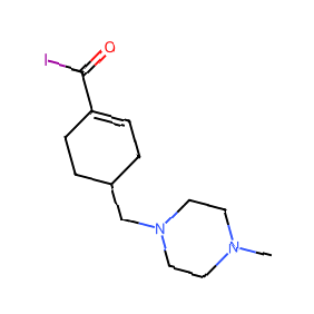 CN1CCN(CC2CC=C(C(=O)I)CC2)CC1